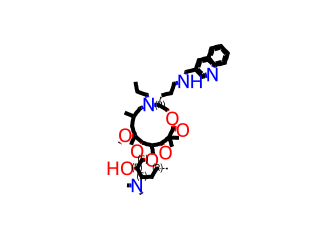 CCCN1CC(C)CC(C)(OC)C(O[C@@H]2O[C@H](C)C[C@H](N(C)C)[C@H]2O)C(C)C(=O)C(C)(C)C(=O)OC[C@H]1CCCNCc1cnc2ccccc2c1